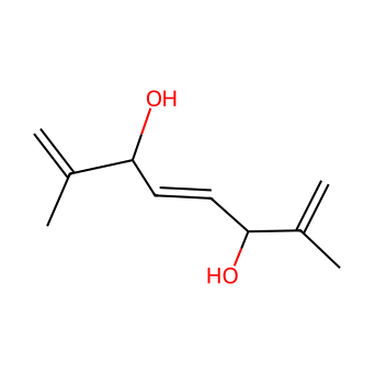 C=C(C)C(O)C=CC(O)C(=C)C